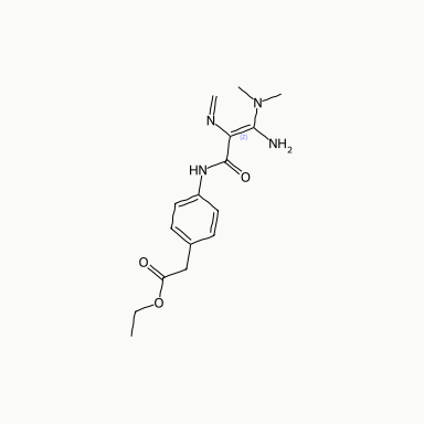 C=N/C(C(=O)Nc1ccc(CC(=O)OCC)cc1)=C(/N)N(C)C